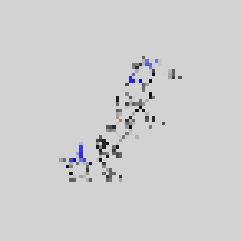 CC(C)(C)c1[nH]cnc1CC(C)(C)c1cc(CC(C)(C)c2ccc[nH]2)cs1